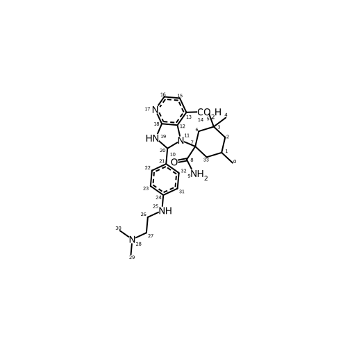 CC1CC(C)(C)CC(C(N)=O)(N2c3c(C(=O)O)ccnc3NC2c2ccc(NCCN(C)C)cc2)C1